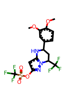 COc1ccc(C2CC(C(F)(F)F)n3nc(OS(=O)(=O)C(F)(F)F)cc3N2)cc1OC